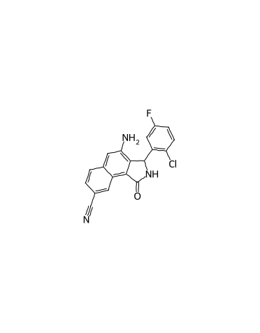 N#Cc1ccc2cc(N)c3c(c2c1)C(=O)NC3c1cc(F)ccc1Cl